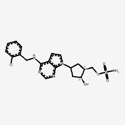 NS(=O)(=O)OC[C@@H]1CC(n2ccc3c(NCc4ccccc4Cl)ncnc32)C[C@@H]1O